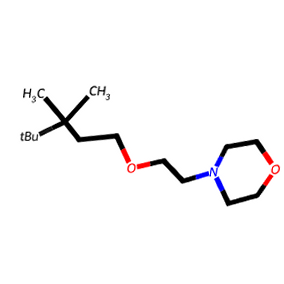 CC(C)(C)C(C)(C)CCOCCN1CCOCC1